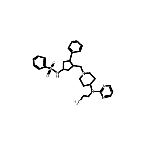 CCCN(c1ncccn1)C1CCN(CC2CC(NS(=O)(=O)c3ccccc3)CC2c2ccccc2)CC1